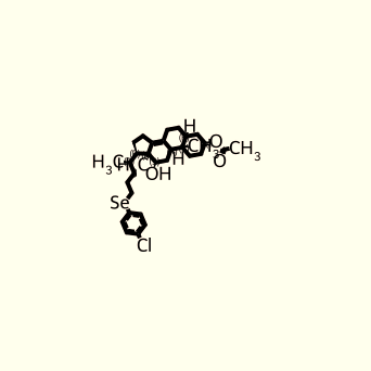 CC(=O)O[C@@H]1CC[C@@]2(C)[C@H](CCC3=C4CC[C@H]([C@H](C)CCC[Se]c5ccc(Cl)cc5)[C@@]4(C)[C@@H](O)C[C@@H]32)C1